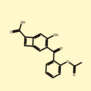 CC(=O)Oc1ccccc1C(=O)c1cc2c(cc1O)C(C(=O)O)=C2